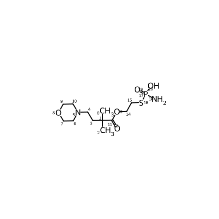 CC(C)(CCN1CCOCC1)C(=O)OCCSP(N)(=O)O